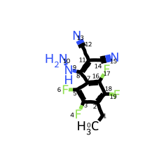 CCc1c(F)c(F)c(C(NN)=C(C#N)C#N)c(F)c1F